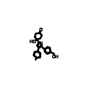 Cc1ccc(-c2cc(C3(O)CCC(=O)CC3)nn2-c2ccc(CO)cc2)cc1